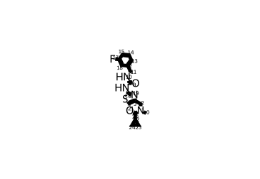 CN(Cc1csc(NC(=O)NCc2cccc(F)c2)n1)C(=O)C1CC1